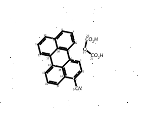 N#Cc1ccc2c3cccc4cccc(c5cccc1c52)c43.O=C(O)OC(=O)O